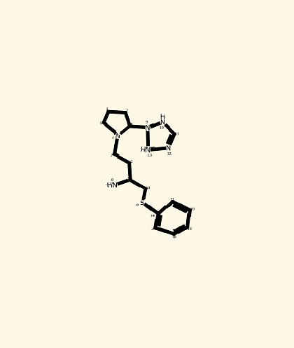 [NH]C(CCN1CCCC1N1NC=NN1)CSc1ccccc1